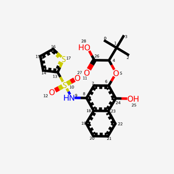 CC(C)(C)C(Oc1cc(NS(=O)(=O)c2cccs2)c2ccccc2c1O)C(=O)O